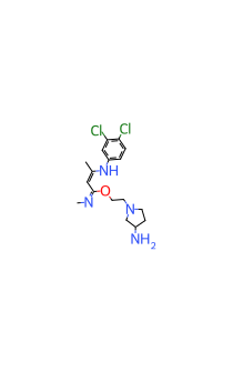 C/N=C(\C=C(\C)Nc1ccc(Cl)c(Cl)c1)OCCN1CCC(N)C1